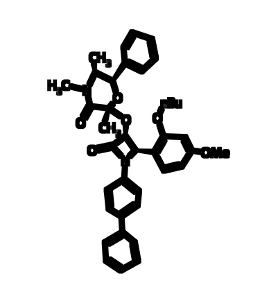 CCCCOc1cc(OC)ccc1[C@@H]1[C@H](O[C@@]2(C)O[C@H](c3ccccc3)[C@H](C)N(C)C2=O)C(=O)N1c1ccc(-c2ccccc2)cc1